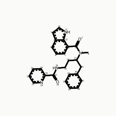 CN(C(=O)c1cccc2cc[nH]c12)C(CCNC(=O)c1ccccn1)Cc1ccccc1